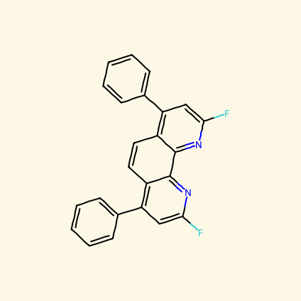 Fc1cc(-c2ccccc2)c2ccc3c(-c4ccccc4)cc(F)nc3c2n1